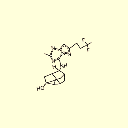 Cc1nc(N[C@@H]2C3CC4C5C2C[C@](O)(C3)C45)n2nc(CCC(C)(F)F)cc2n1